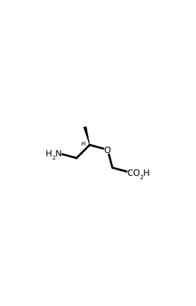 C[C@H](CN)OCC(=O)O